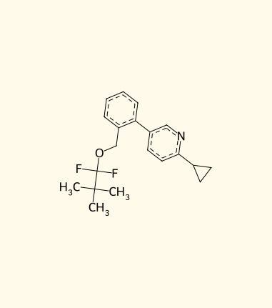 CC(C)(C)C(F)(F)OCc1ccccc1-c1ccc(C2CC2)nc1